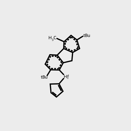 Cc1cc(C(C)(C)C)cc2c1-c1ccc(C(C)(C)C)[c]([Hf][C]3=CC=CC3)c1C2